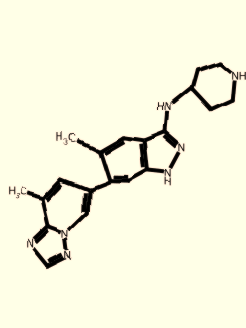 Cc1cc2c(NC3CCNCC3)n[nH]c2cc1-c1cc(C)c2ncnn2c1